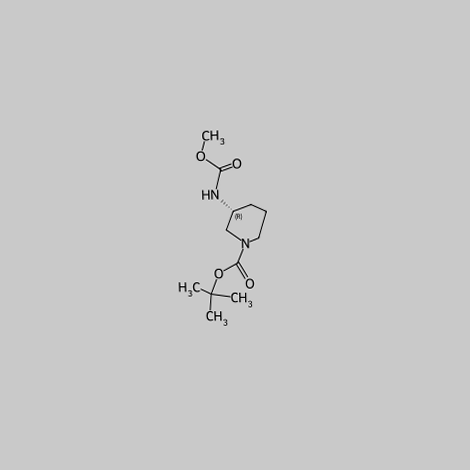 COC(=O)N[C@@H]1CCCN(C(=O)OC(C)(C)C)C1